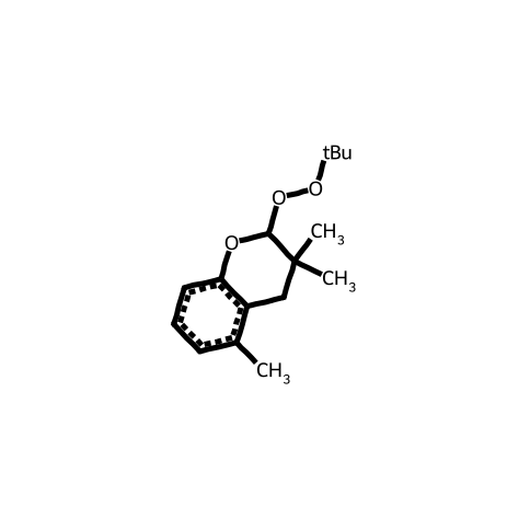 Cc1cccc2c1CC(C)(C)C(OOC(C)(C)C)O2